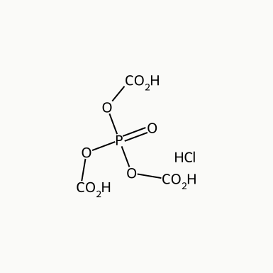 Cl.O=C(O)OP(=O)(OC(=O)O)OC(=O)O